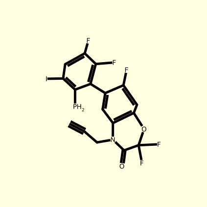 C#CCN1C(=O)C(F)(F)Oc2cc(F)c(-c3c(F)c(F)cc(I)c3P)cc21